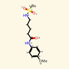 CCC(C)S(=O)(=O)NCCCCC(=O)Nc1ccc(OC)cc1